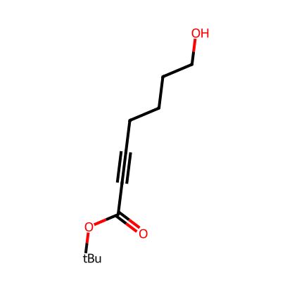 CC(C)(C)OC(=O)C#CCCCCO